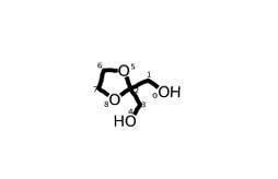 OCC1(CO)OCCO1